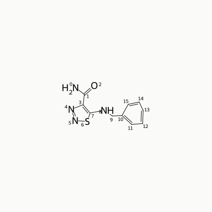 NC(=O)c1nnsc1NCc1ccccc1